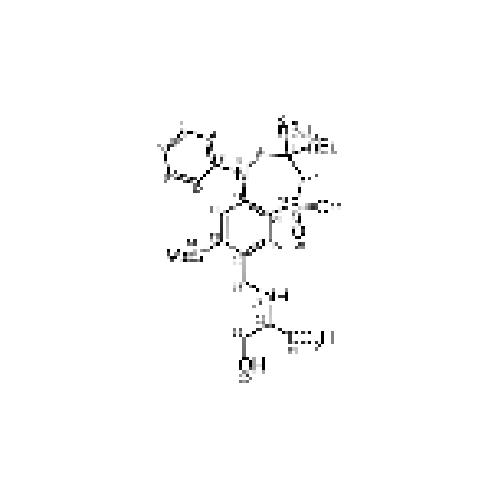 CCCCC1(CCCC)CN(c2ccccc2)c2cc(SC)c(CNC(CO)C(=O)O)cc2S(=O)(=O)C1